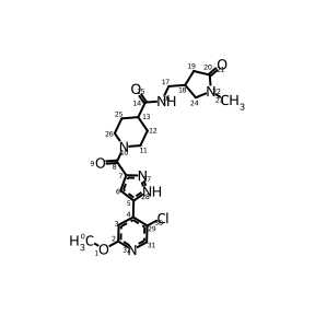 COc1cc(-c2cc(C(=O)N3CCC(C(=O)NCC4CC(=O)N(C)C4)CC3)n[nH]2)c(Cl)cn1